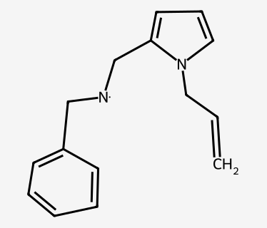 C=CCn1cccc1C[N]Cc1ccccc1